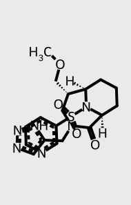 COC[C@H]1CN(Cc2cnn[nH]2)C(=O)[C@@H]2CCC[C@H]1N2S(=O)(=O)c1cccnc1